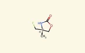 C[Si@]1(CF)COC(=O)N1